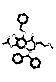 COCCN1C[C@H](C(c2ccccc2)c2ccccc2)n2cc(OC(C)=O)c(=O)c(OCc3ccccc3)c2C1=O